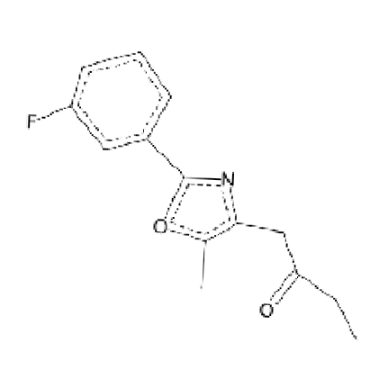 CCC(=O)Cc1nc(-c2cccc(F)c2)oc1C